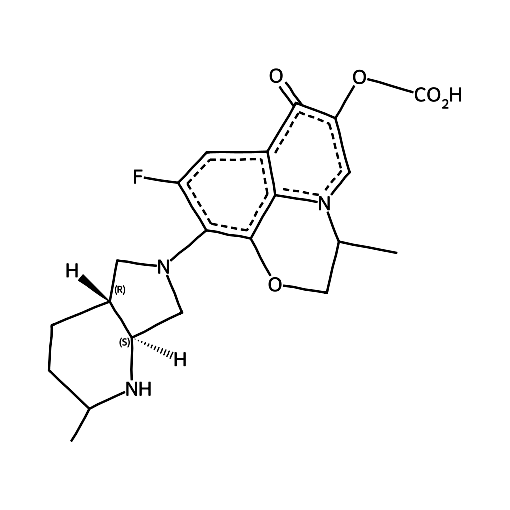 CC1CC[C@@H]2CN(c3c(F)cc4c(=O)c(OC(=O)O)cn5c4c3OCC5C)C[C@H]2N1